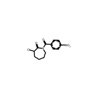 O=C(c1ccc([N+](=O)[O-])cc1)N1CCCCC(Cl)C1=O